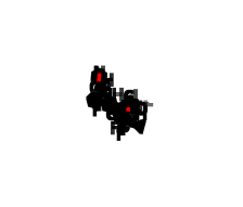 O=C(O)c1ccc(NC(C(=O)O[C@H]2CN3CCC2CC3)c2cccc(F)c2)cc1[C@@H](Cc1c(Cl)c[n+]([O-])cc1Cl)c1ccc(OC(F)F)c(OCC2CC2)c1